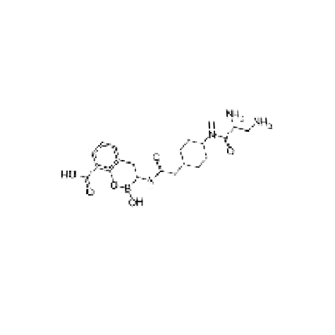 NCC(N)C(=O)NC1CCC(CC(=O)NC2Cc3cccc(C(=O)O)c3OB2O)CC1